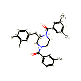 CC(=O)c1cccc(C(=O)N2CCN(C(=O)c3cc(C(F)(F)F)cc(C(F)(F)F)c3)[C@H](Cc3ccc(C)c(C)c3)C2)c1